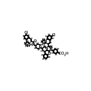 O=C(C=Cc1cc(Cl)ccc1-n1cnnn1)NC1CCN(C2CC(c3ccccc3)C(C(=O)Nc3ccc(C(=O)O)cc3)N(C(=O)C=Cc3cc(Cl)ccc3-n3cnnn3)C2)CC1